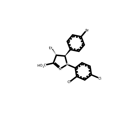 CC[C@H]1C(C(=O)O)=NN(c2ccc(Cl)cc2Cl)[C@@H]1c1ccc(Br)cc1